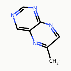 [CH2]c1cnc2ncncc2n1